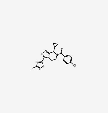 Cc1nsc(-c2nnc3n2CCN(C(=O)c2ccc(Cl)cc2)C3C2CC2)n1